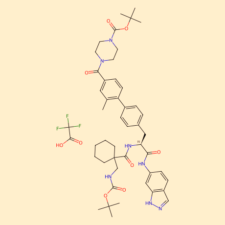 Cc1cc(C(=O)N2CCN(C(=O)OC(C)(C)C)CC2)ccc1-c1ccc(C[C@H](NC(=O)C2(CNC(=O)OC(C)(C)C)CCCCC2)C(=O)Nc2ccc3cn[nH]c3c2)cc1.O=C(O)C(F)(F)F